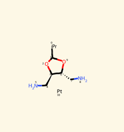 CC(C)C1O[C@H](CN)[C@@H](CN)O1.[Pt]